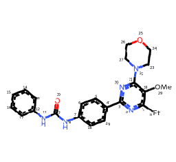 CCc1nc(-c2ccc(NC(=O)Nc3ccccc3)cc2)nc(N2CCOCC2)c1OC